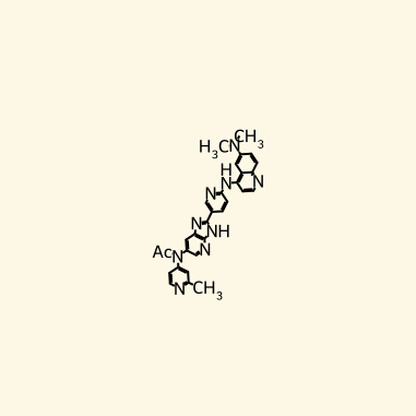 CC(=O)N(c1ccnc(C)c1)c1cnc2[nH]c(-c3ccc(Nc4ccnc5ccc(N(C)C)cc45)nc3)nc2c1